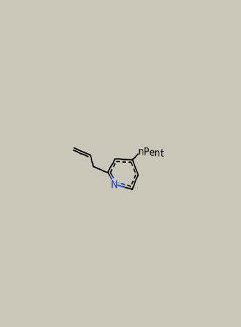 C=CCc1cc(CCCCC)ccn1